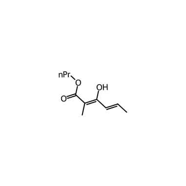 CC=CC(O)=C(C)C(=O)OCCC